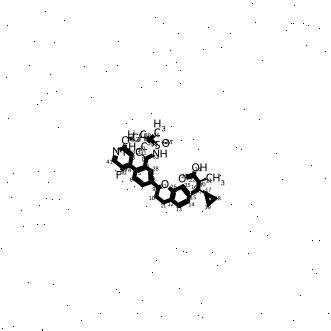 COc1cc(-c2ccc(C3CCc4ccc([C@H](C5CC5)[C@H](C)C(=O)O)cc4O3)cc2[C@H](C)N[S@@+]([O-])C(C)(C)C)c(F)cn1